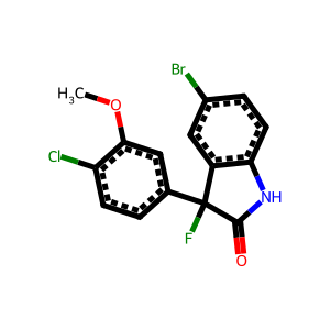 COc1cc(C2(F)C(=O)Nc3ccc(Br)cc32)ccc1Cl